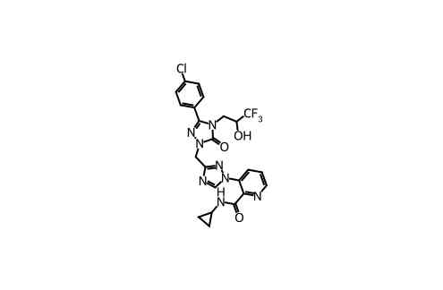 O=C(NC1CC1)c1ncccc1-n1cnc(Cn2nc(-c3ccc(Cl)cc3)n(CC(O)C(F)(F)F)c2=O)n1